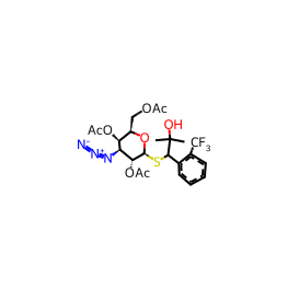 CC(=O)OC[C@H]1O[C@@H](SC(c2ccccc2C(F)(F)F)C(C)(C)O)[C@H](OC(C)=O)[C@@H](N=[N+]=[N-])[C@H]1OC(C)=O